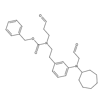 O=CCCN(CCc1cccc(N(CC=O)C2CCCCCC2)c1)C(=O)OCc1ccccc1